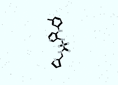 Cc1cccc(Nc2ccncc2NS(=O)(=O)C(=O)NCc2ccco2)c1